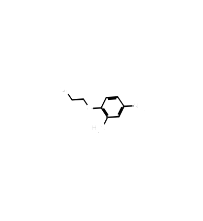 CC(C)(C)CCOc1ccc(N)cc1N